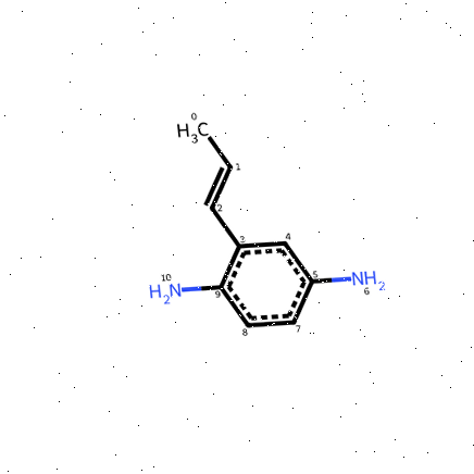 CC=Cc1cc(N)ccc1N